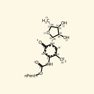 CCCCCOC(=O)Nc1nc(=O)n([C@@H]2O[C@H](C)[C@@H](O)[C@H]2O)cc1C(F)(F)F